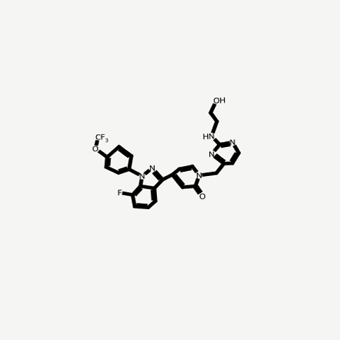 O=c1cc(-c2nn(-c3ccc(OC(F)(F)F)cc3)c3c(F)cccc23)ccn1Cc1ccnc(NCCO)n1